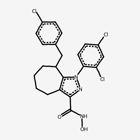 O=C(NO)c1nn(-c2ccc(Cl)cc2Cl)c2c1CCCCC2Cc1ccc(Cl)cc1